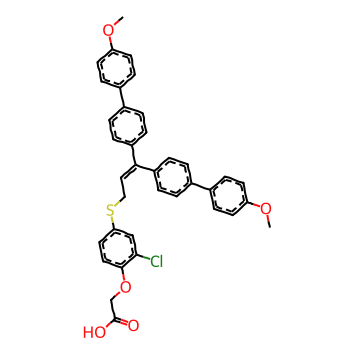 COc1ccc(-c2ccc(C(=CCSc3ccc(OCC(=O)O)c(Cl)c3)c3ccc(-c4ccc(OC)cc4)cc3)cc2)cc1